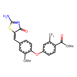 COC(=O)c1ccc(Oc2ccc(C=C3SC(N)=NC3=O)cc2OC)cc1C(F)(F)F